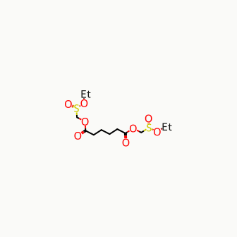 CCOS(=O)COC(=O)CCCCC(=O)OCS(=O)OCC